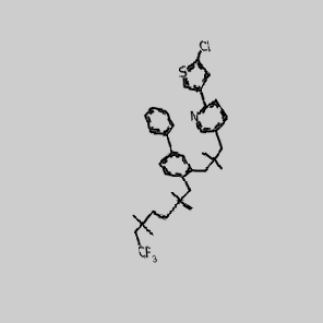 CC(C)(CCC(C)(C)CC(F)(F)F)Cc1ccc(-c2ccccc2)cc1CC(C)(C)Cc1ccc(-c2csc(Cl)c2)nc1